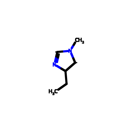 CCC1[CH]N(C)[C]=N1